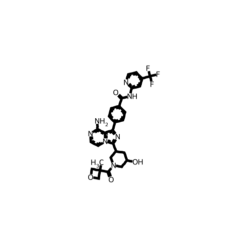 CC1(C(=O)N2CC(O)CC(c3nc(-c4ccc(C(=O)Nc5cc(C(F)(F)F)ccn5)cc4)c4c(N)nccn34)C2)COC1